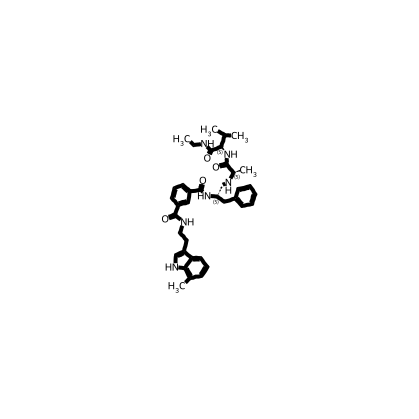 CCNC(=O)[C@@H](NC(=O)[C@H](C)NC[C@H](Cc1ccccc1)NC(=O)c1cccc(C(=O)NCCc2c[nH]c3c(C)cccc23)c1)C(C)C